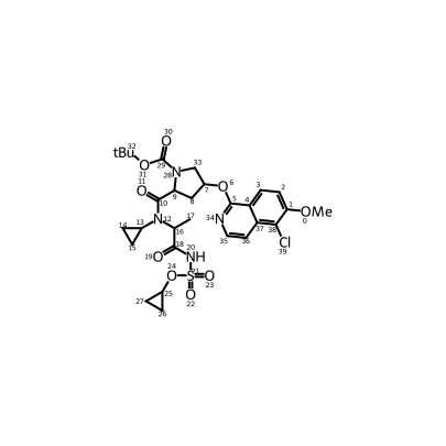 COc1ccc2c(OC3CC(C(=O)N(C4CC4)C(C)C(=O)NS(=O)(=O)OC4CC4)N(C(=O)OC(C)(C)C)C3)nccc2c1Cl